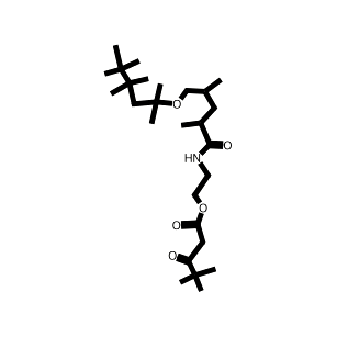 CC(COC(C)(C)CC(C)(C)C(C)(C)C)CC(C)C(=O)NCCOC(=O)CC(=O)C(C)(C)C